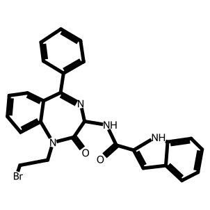 O=C(NC1N=C(c2ccccc2)c2ccccc2N(CCBr)C1=O)c1cc2ccccc2[nH]1